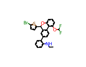 CCNc1ccccc1-c1ccc2c(c1)C(c1ccc(Br)s1)Oc1cccc(OC(F)F)c1-2